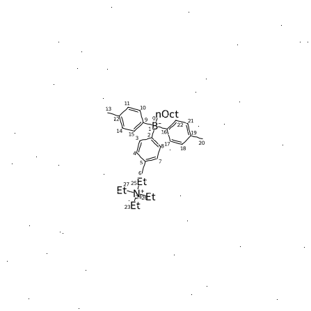 CCCCCCCC[B-](c1ccc(C)cc1)(c1ccc(C)cc1)c1ccc(C)cc1.CC[N+](CC)(CC)CC